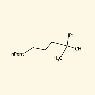 CCCCCCCCC(C)(C)[C](C)C